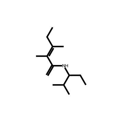 C=C(NC(CC)C(C)C)/C(C)=C(\C)CC